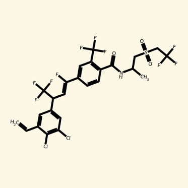 C=Cc1cc(C(/C=C(\F)c2ccc(C(=O)NC(C)CS(=O)(=O)CC(F)(F)F)c(C(F)(F)F)c2)C(F)(F)F)cc(Cl)c1Cl